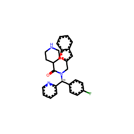 O=C(C1CCNCC1)N(Cc1cc2ccccc2o1)[C@@H](c1ccc(F)cc1)c1ccccn1